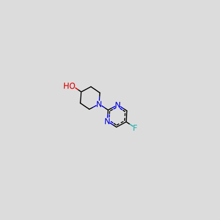 OC1CCN(c2ncc(F)cn2)CC1